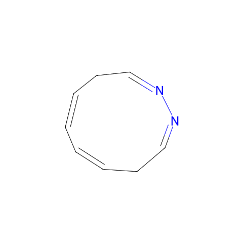 C1=C\C/C=N\N=C/C\C=C/1